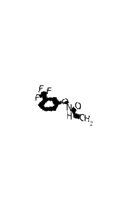 C=CC(=O)NOc1cccc(C(F)(F)F)c1